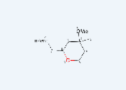 CCCCCCC1CC(C)(OC)CCO1